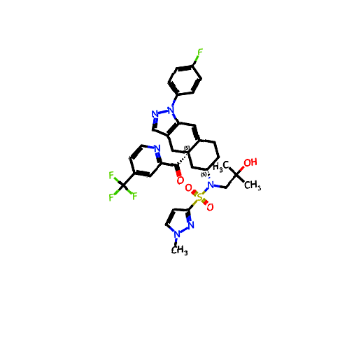 Cn1ccc(S(=O)(=O)N(CC(C)(C)O)[C@H]2CCC3=Cc4c(cnn4-c4ccc(F)cc4)C[C@]3(C(=O)c3cc(C(F)(F)F)ccn3)C2)n1